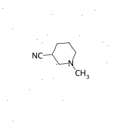 CN1[CH]C(C#N)CCC1